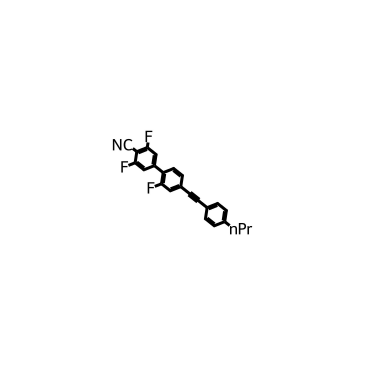 CCCc1ccc(C#Cc2ccc(-c3cc(F)c(C#N)c(F)c3)c(F)c2)cc1